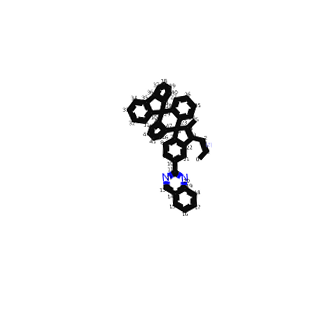 C/C=C\C1=C(C)C2(c3ccc(-c4ncc5ccccc5n4)cc31)c1ccccc1C1(c3ccccc3-c3ccccc31)c1ccccc12